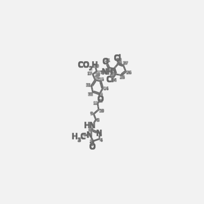 CN1C(=O)CN=C1NCCCCOc1ccc(CC(NC(=O)c2c(Cl)cccc2Cl)C(=O)O)cc1